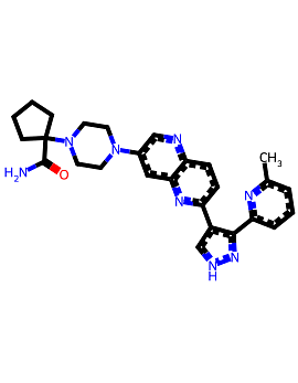 Cc1cccc(-c2n[nH]cc2-c2ccc3ncc(N4CCN(C5(C(N)=O)CCCC5)CC4)cc3n2)n1